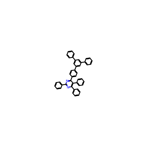 c1ccc(-c2cc(-c3ccccc3)cc(-c3ccc(-c4nc(-c5ccccc5)nc(-c5ccccc5)c4-c4ccccc4)cc3)c2)cc1